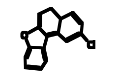 ClC1=CC2=c3c(oc4ccccc34)=CCC2C=C1